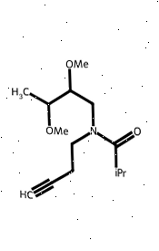 C#CCCN(CC(OC)C(C)OC)C(=O)C(C)C